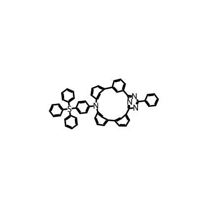 c1ccc(-c2nc3nc(n2)-c2cccc(c2)-c2cccc(c2)N(c2ccc(S(c4ccccc4)(c4ccccc4)c4ccccc4)cc2)c2cccc(c2)-c2cccc-3c2)cc1